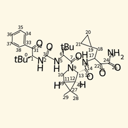 CC(C)(C)[C@H](NC(=O)N[C@H](C(=O)N1C[C@H]2[C@@H]([C@H]1C(=O)NC(CC1CC1)C(=O)C(N)=O)C2(C)C)C(C)(C)C)C(=O)c1ccccc1